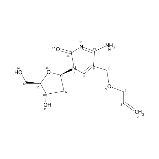 C=CCOCc1cn([C@H]2CC(O)[C@@H](CO)O2)c(=O)nc1N